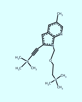 Cc1cnc2c(c1)cc(C#C[Si](C)(C)C)n2COCC[Si](C)(C)C